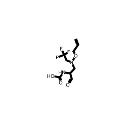 C=CCON(CC(C=O)NC(=O)O)CC(F)(F)F